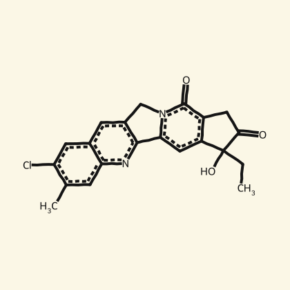 CCC1(O)C(=O)Cc2c1cc1n(c2=O)Cc2cc3cc(Cl)c(C)cc3nc2-1